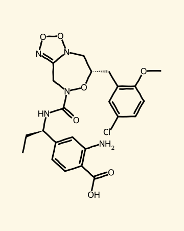 CC[C@@H](NC(=O)N1CC2=NOON2C[C@H](Cc2cc(Cl)ccc2OC)O1)c1ccc(C(=O)O)c(N)c1